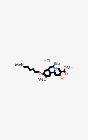 CNCCCCCCOc1cc2c(cc1OC)-c1cc(=O)c(C(=O)OC)cn1C(C(C)(C)C)C2.Cl